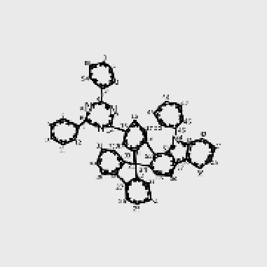 c1ccc(-c2nc(-c3ccccc3)nc(-c3ccc4c(c3)C3(c5ccccc5-c5ccccc53)c3ccc5c6ccccc6n(-c6ccccc6)c5c3-4)n2)cc1